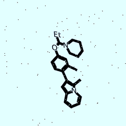 CCC(Oc1ccc(-c2cc3ccccn3c2C)c(C)c1)N1CCCCC1